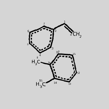 C=Cc1ccccc1.Cc1ccccc1C